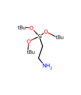 CC(C)(C)O[Si](CCN)(OC(C)(C)C)OC(C)(C)C